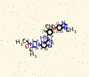 C=CC(=O)N1CCN(c2ccc3ncnc(Nc4ccc(Oc5ccc6c(c5)ncn6C)c(C)c4F)c3n2)C[C@H]1C